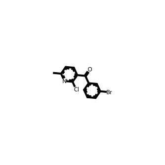 Cc1ccc(C(=O)c2cccc(Br)c2)c(Cl)n1